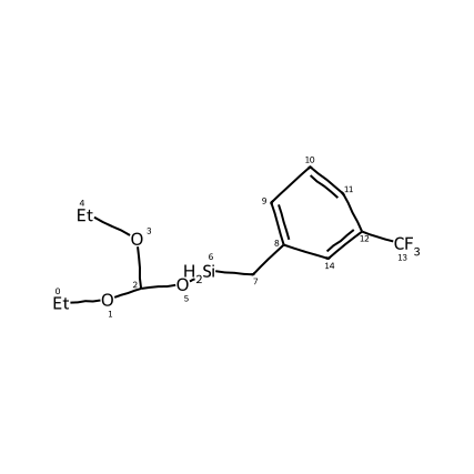 CCOC(OCC)O[SiH2]Cc1cccc(C(F)(F)F)c1